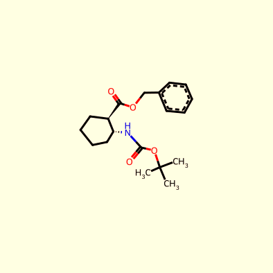 CC(C)(C)OC(=O)N[C@@H]1CCCC[C@H]1C(=O)OCc1ccccc1